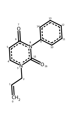 C=CCn1ccc(=O)n(-c2ccccc2)c1=O